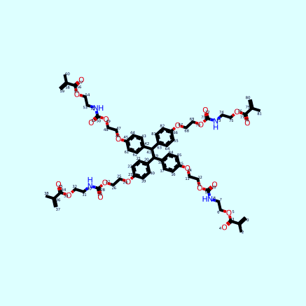 C=C(C)C(=O)OCCNC(=O)OCCOc1ccc(C(c2ccc(OCCOC(=O)NCCOC(=O)C(=C)C)cc2)C(c2ccc(OCCOC(=O)NCCOC(=O)C(=C)C)cc2)c2ccc(OCCOC(=O)NCCOC(=O)C(=C)C)cc2)cc1